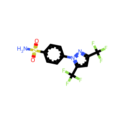 NS(=O)(=O)c1ccc(-n2nc(C(F)(F)F)cc2C(F)(F)F)cc1